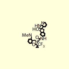 CNCc1ccccc1CN(CC(=O)Nc1ccc2c(c1)CC1(C2)c2cccnc2NC1O)C(=O)C1(C(F)(F)F)CC1